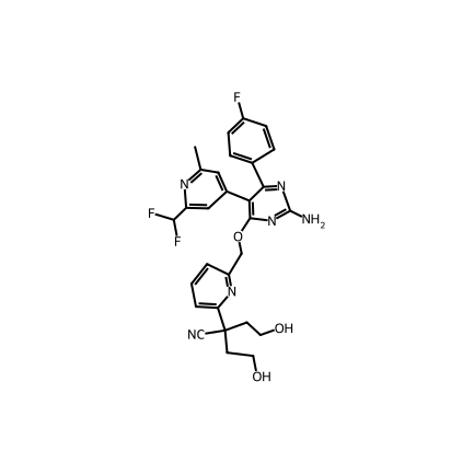 Cc1cc(-c2c(OCc3cccc(C(C#N)(CCO)CCO)n3)nc(N)nc2-c2ccc(F)cc2)cc(C(F)F)n1